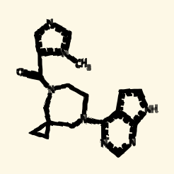 Cn1cncc1C(=O)N1CCN(c2ncnc3[nH]ccc23)CC2(CC2)C1